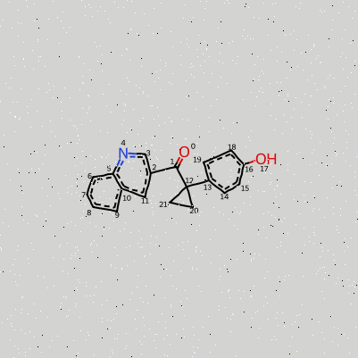 O=C(c1cnc2ccccc2c1)C1(c2ccc(O)cc2)CC1